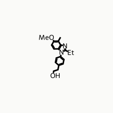 CCc1nc2c(C)c(OC)ccc2n1-c1ccc(CCO)cc1